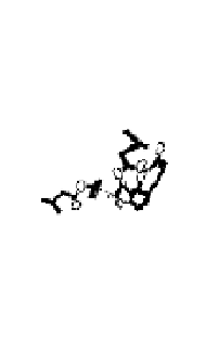 CC(C)CC(=O)O[C@@H]1c2c(ccc3ccc(=O)oc23)O[C@@H]1C(C)(C)OC(=O)CC(C)C